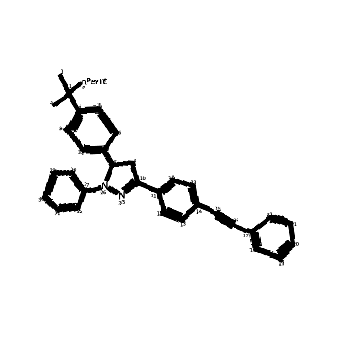 CCCCCC(C)(C)c1ccc(C2CC(c3ccc(C#Cc4ccccc4)cc3)=NN2c2ccccc2)cc1